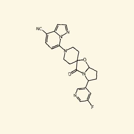 N#Cc1ccc(N2CCC3(CC2)OC2CCC(c4cncc(F)c4)N2C3=O)n2nccc12